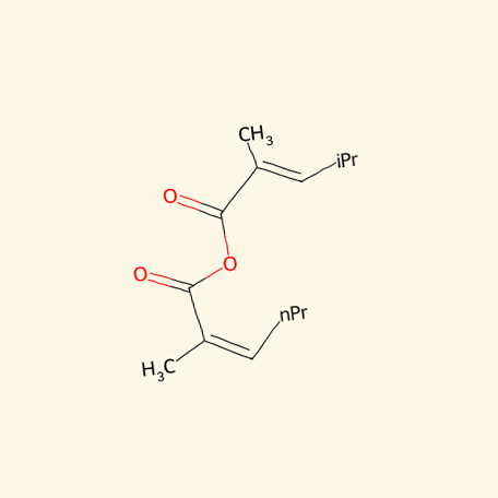 CCCC=C(C)C(=O)OC(=O)C(C)=CC(C)C